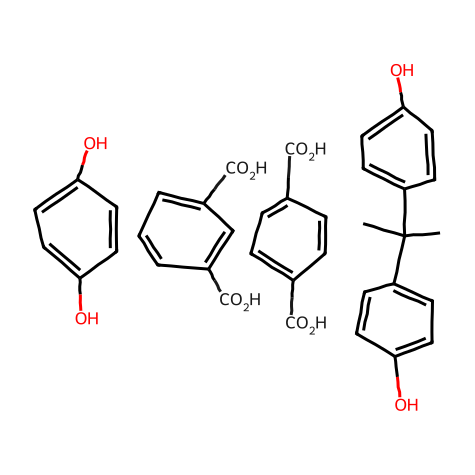 CC(C)(c1ccc(O)cc1)c1ccc(O)cc1.O=C(O)c1ccc(C(=O)O)cc1.O=C(O)c1cccc(C(=O)O)c1.Oc1ccc(O)cc1